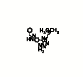 CN(C)CCCn1nc(-c2ccc3[nH]c(Cc4ccccc4)nc3c2)c2c(N)ncnc21